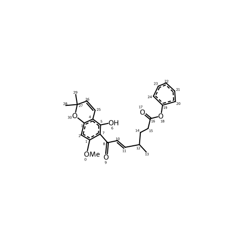 COc1cc2c(c(O)c1C(=O)/C=C/C(C)CCC(=O)Oc1ccccc1)C=CC(C)(C)O2